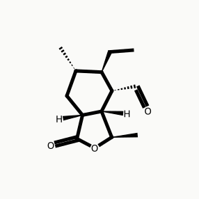 CC[C@H]1[C@H](C=O)[C@@H]2[C@@H](C)OC(=O)[C@@H]2C[C@@H]1C